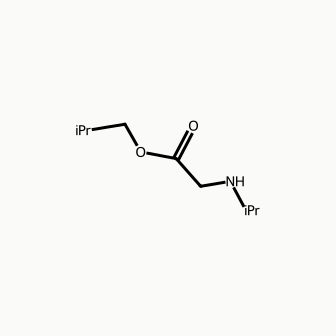 CC(C)COC(=O)CNC(C)C